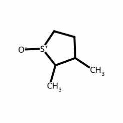 CC1CC[S+]([O-])C1C